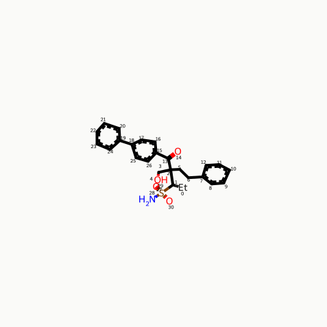 CCC(C(CO)(CCc1ccccc1)C(=O)c1ccc(-c2ccccc2)cc1)S(N)(=O)=O